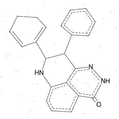 O=c1[nH]nc2c3c(cccc13)NC(C1=CCCC=C1)C2c1ccccc1